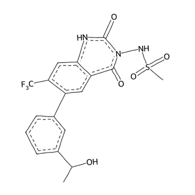 CC(O)c1cccc(-c2cc3c(=O)n(NS(C)(=O)=O)c(=O)[nH]c3cc2C(F)(F)F)c1